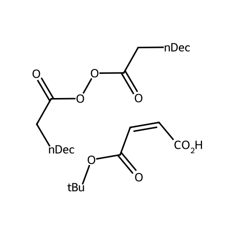 CC(C)(C)OC(=O)/C=C\C(=O)O.CCCCCCCCCCCC(=O)OOC(=O)CCCCCCCCCCC